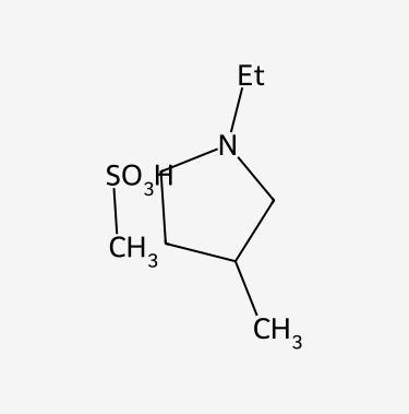 CCN1CCC(C)C1.CS(=O)(=O)O